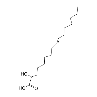 CCCCCCC=CCCCCCCC(O)C(=O)O